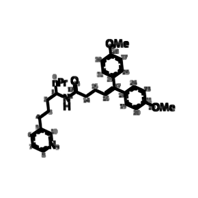 CCCC(CCCc1cccnc1)NC(=O)CCC=C(c1ccc(OC)cc1)c1ccc(OC)cc1